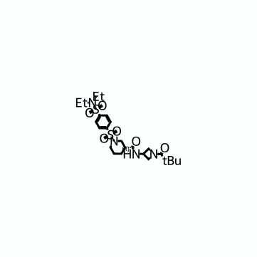 CCN(CC)S(=O)(=O)c1ccc(S(=O)(=O)N2CCC[C@@H](C(=O)NC3CN(C(=O)C(C)(C)C)C3)C2)cc1